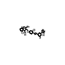 CC(C)/C(O)=C(\COc1ccc(C2CN(c3cc(F)cc(-c4nnn[nH]4)c3)C2)c(Cl)c1)C(=N)c1c(Cl)cccc1Cl